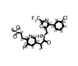 CC(C(=O)NCc1oc(C(F)(F)F)nc1-c1cccc(Cl)c1)c1cnc(CCS(C)(=O)=O)c(F)c1